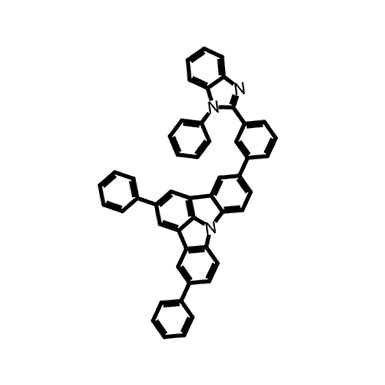 c1ccc(-c2ccc3c(c2)c2cc(-c4ccccc4)cc4c5cc(-c6cccc(-c7nc8ccccc8n7-c7ccccc7)c6)ccc5n3c24)cc1